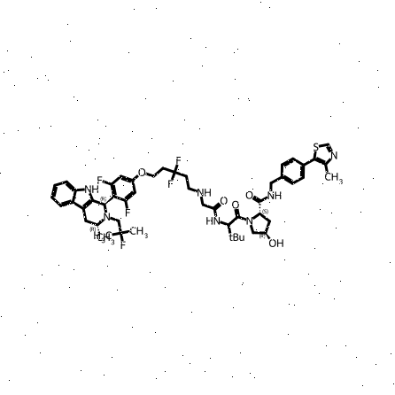 Cc1ncsc1-c1ccc(CNC(=O)[C@@H]2C[C@@H](O)CN2C(=O)C(NC(=O)CNCCC(F)(F)CCOc2cc(F)c([C@@H]3c4[nH]c5ccccc5c4C[C@@H](C)N3CC(C)(C)F)c(F)c2)C(C)(C)C)cc1